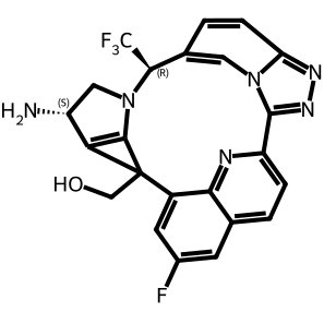 N[C@@H]1CN2C3=C1C3(CO)c1cc(F)cc3ccc(nc13)-c1nnc3ccc(cn13)[C@@H]2C(F)(F)F